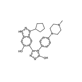 CN1CCN(c2ccc(-n3c(O)nnc3-c3cc4c(C5CCCC5)n[nH]c4cc3O)cc2)CC1